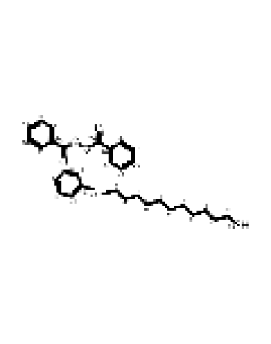 CCCCCCCCCCCCS.Cc1ccccc1.O=C(OOC(=O)c1ccccc1)c1ccccc1